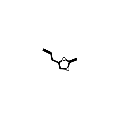 C=CCC1COC(=C)O1